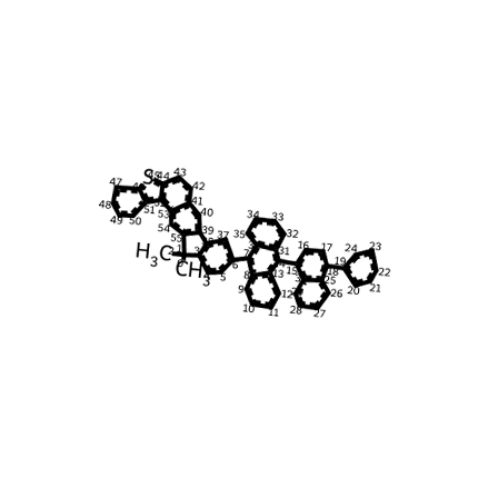 CC1(C)c2ccc(-c3c4ccccc4c(-c4ccc(-c5ccccc5)c5ccccc45)c4ccccc34)cc2-c2cc3ccc4sc5ccccc5c4c3cc21